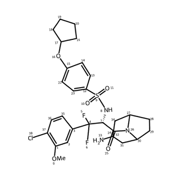 COc1cc(C(F)(F)[C@H](NS(=O)(=O)c2ccc(OC3CCCC3)cc2)C(=O)N2C3CCC2CC(N)C3)ccc1Cl